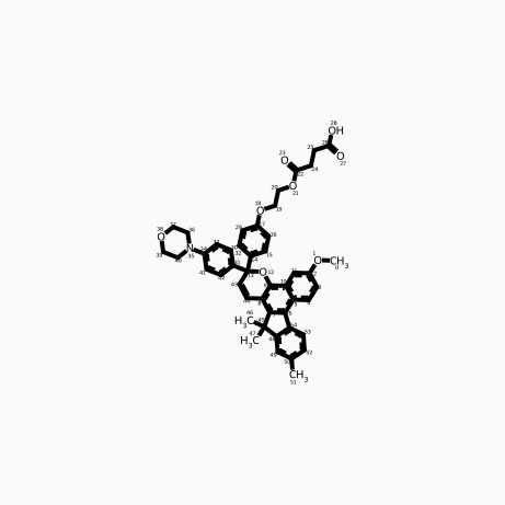 COc1ccc2c3c(c4c(c2c1)OC(c1ccc(OCCOC(=O)CCC(=O)O)cc1)(c1ccc(N2CCOCC2)cc1)C=C4)C(C)(C)c1cc(C)ccc1-3